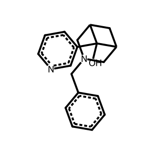 OC1(c2cccnc2)C2CC1CN(Cc1ccccc1)C2